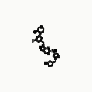 O=C1COCCN1c1cc(F)cc(Cn2ncc3cnc(Nc4cnn(CC5CCNC5)c4)nc32)c1